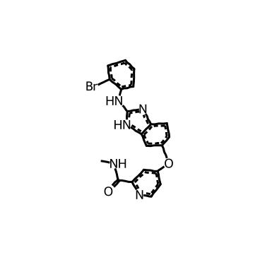 CNC(=O)c1cc(Oc2ccc3nc(Nc4ccccc4Br)[nH]c3c2)ccn1